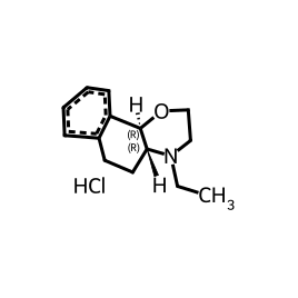 CCN1CCO[C@@H]2c3ccccc3CC[C@H]21.Cl